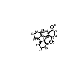 COc1ccc(OC)c(-n2c3ccccc3c3ccccc32)c1Br